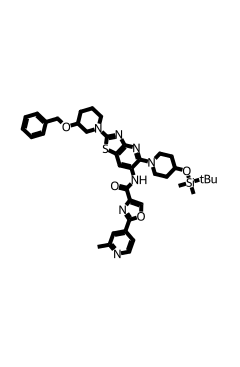 Cc1cc(-c2nc(C(=O)Nc3cc4sc(N5CCCC(OCc6ccccc6)C5)nc4nc3N3CCC(O[Si](C)(C)C(C)(C)C)CC3)co2)ccn1